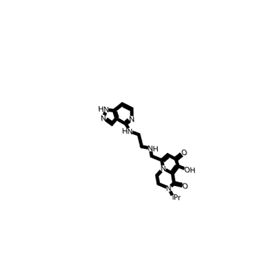 CC(C)N1CCn2c(CNCCNc3nccc4[nH]ncc34)cc(=O)c(O)c2C1=O